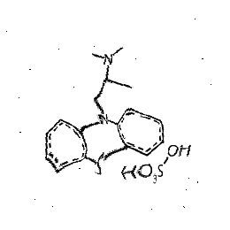 CC(CN1c2ccccc2Sc2ccccc21)N(C)C.O=S(=O)(O)O